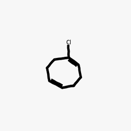 Cl/C1=C/CC/C=C\CC1